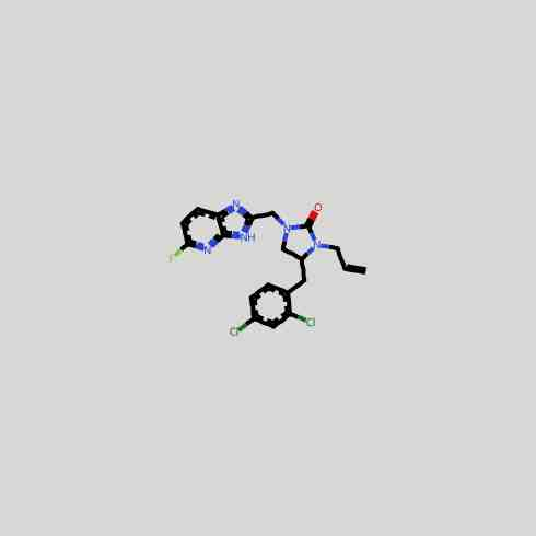 C=CCN1C(=O)N(Cc2nc3ccc(F)nc3[nH]2)CC1Cc1ccc(Cl)cc1Cl